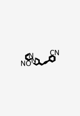 N#Cc1cccc(C#CC=C2CCN(c3ncccc3N=O)CC2)c1